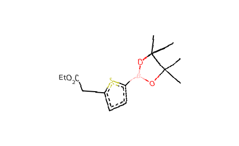 CCOC(=O)Cc1ccc(B2OC(C)(C)C(C)(C)O2)s1